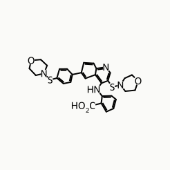 O=C(O)c1ccccc1Nc1c(SN2CCOCC2)cnc2ccc(-c3ccc(SN4CCOCC4)cc3)cc12